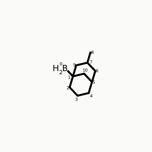 BC12CCCC(CC(C)C1)C2